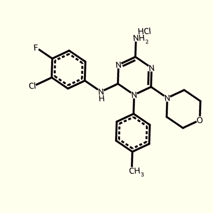 Cc1ccc(N2C(N3CCOCC3)=NC(N)=NC2Nc2ccc(F)c(Cl)c2)cc1.Cl